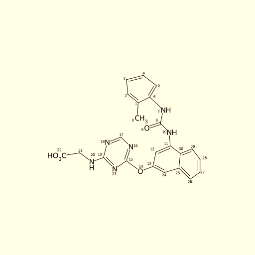 Cc1ccccc1NC(=O)Nc1cc(Oc2ncnc(NCC(=O)O)n2)cc2ccccc12